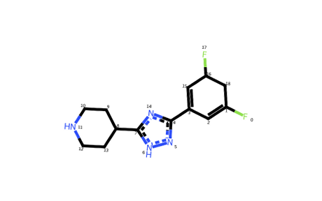 FC1=CC(c2n[nH]c(C3CCNCC3)n2)=CC(F)C1